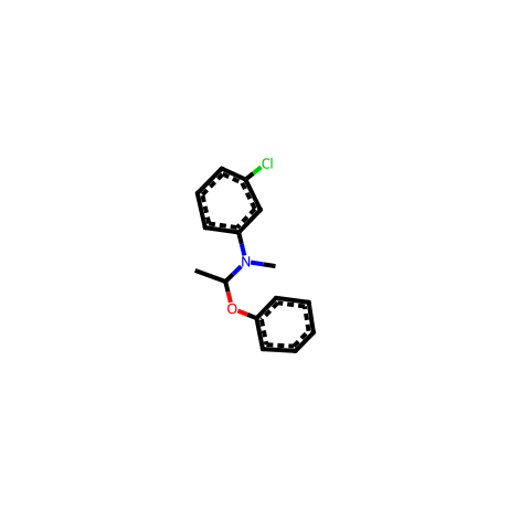 CC(Oc1ccccc1)N(C)c1cccc(Cl)c1